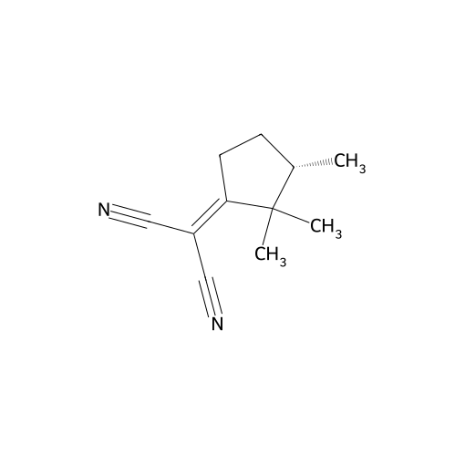 C[C@H]1CCC(=C(C#N)C#N)C1(C)C